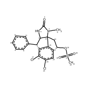 CN1C(=O)NC(Cc2ccccc2)C1(CCOS(C)(=O)=O)c1ccc(Cl)c(Cl)c1